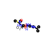 N=C(NS(=O)(=O)c1ccc(NCCC(CSc2ccccc2)N2CCOCC2)c([N+](=O)[O-])c1)c1ccc(N2CCN(CC=C(c3ccccc3)c3ccccc3)CC2)cc1